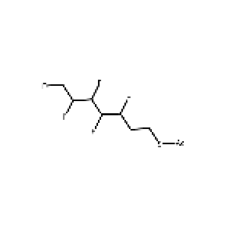 CC(=O)SCCC(F)C(F)C(F)C(F)CF